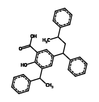 CC(CC(c1ccccc1)c1cc(C(=O)O)c(O)c(C(C)c2ccccc2)c1)c1ccccc1